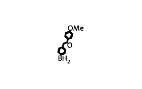 Bc1ccc(CC(=O)c2ccc(OC)cc2)cc1